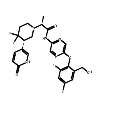 C[C@@H](C(=O)Nc1cnc(Oc2c(F)cc(F)cc2CO)cn1)N1CCC(F)(F)[C@@H](c2ccc(=O)[nH]c2)C1